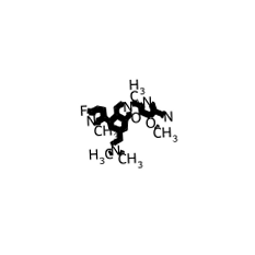 CCOc1cc([C@H](C)N2CCc3c(cc(CCN(C)CC)cc3-c3ccc(F)nc3C)C2=O)ncc1C#N